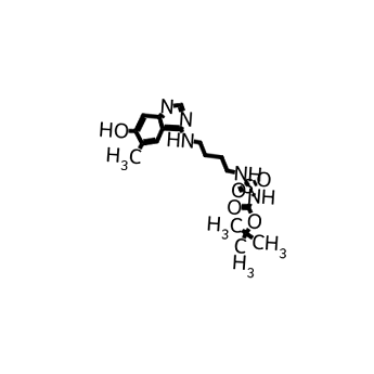 Cc1cc2c(NCCCCNS(=O)(=O)NC(=O)OC(C)(C)C)ncnc2cc1O